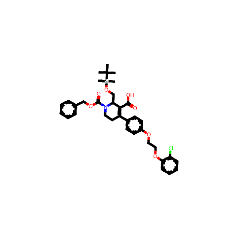 CC(C)(C)[Si](C)(C)OCC1C(C(=O)O)=C(c2ccc(OCCOc3ccccc3Cl)cc2)CCN1C(=O)OCc1ccccc1